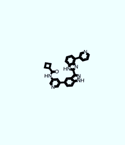 O=C(Nc1cncc(-c2ccc3[nH]nc(-c4nc5c(-c6cccnc6)cccc5[nH]4)c3c2)c1)C1CCC1